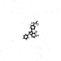 CC(=O)Nc1ccc(-c2cn(-c3ccccc3)c3nc[nH]c(=O)c23)cc1